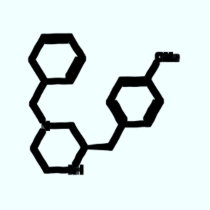 COc1ccc(C[C@@H]2CN(CC3C=CC=CC3)CCN2)cc1